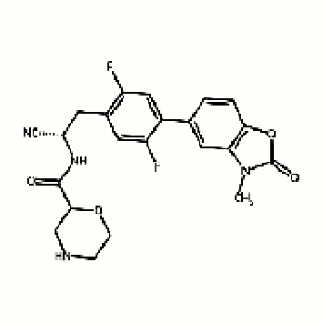 Cn1c(=O)oc2ccc(-c3cc(F)c(C[C@@H](C#N)NC(=O)C4CNCCO4)cc3F)cc21